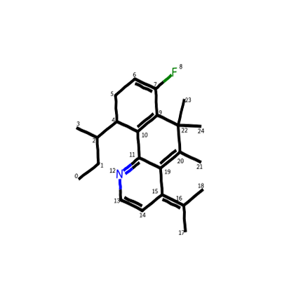 CCC(C)C1CC=C(F)C2=C1c1nccc(=C(C)C)c1=C(C)C2(C)C